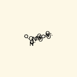 C[C@@H]1CN(S(=O)(=O)c2ccc([N+](=O)[O-])cc2)C[C@H](CC#N)N1C(=O)OCc1ccccc1